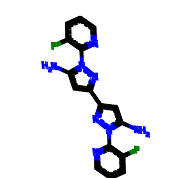 Nc1cc(-c2cc(N)n(-c3ncccc3F)n2)nn1-c1ncccc1F